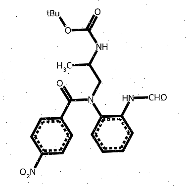 CC(CN(C(=O)c1ccc([N+](=O)[O-])cc1)c1ccccc1NC=O)NC(=O)OC(C)(C)C